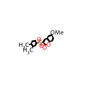 COc1ccc2oc(=O)c(S(=O)(=O)c3ccc(C)c(C)c3)cc2c1